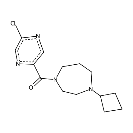 O=C(c1cnc(Cl)cn1)N1CCCN(C2CCC2)CC1